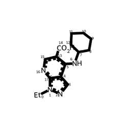 CCn1ncc2c(NC3CCCCC3)c(C(=O)O)cnc21